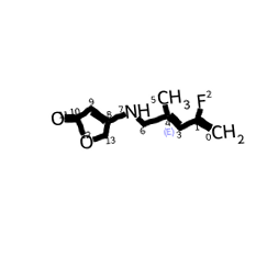 C=C(F)/C=C(\C)CNC1=CC(=O)OC1